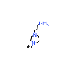 CC(C)N1CCCN(CCCN)CC1